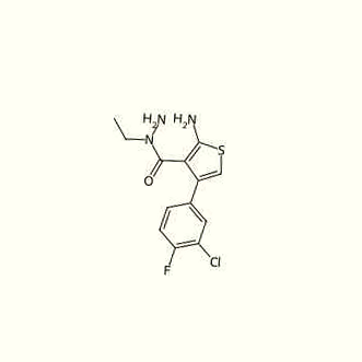 CCN(N)C(=O)c1c(-c2ccc(F)c(Cl)c2)csc1N